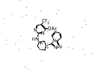 CC(=O)Oc1nc(N[C@@H]2CCC[C@H](c3nnc4ccccn34)C2)ncc1C(F)(F)F